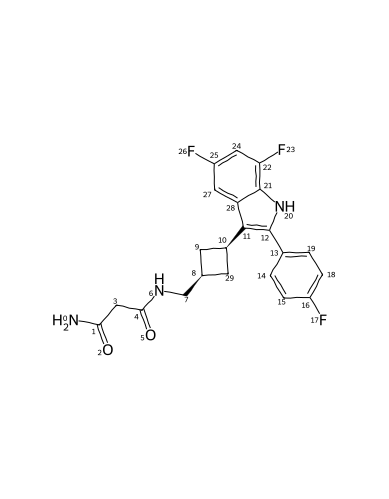 NC(=O)CC(=O)NC[C@H]1C[C@@H](c2c(-c3ccc(F)cc3)[nH]c3c(F)cc(F)cc32)C1